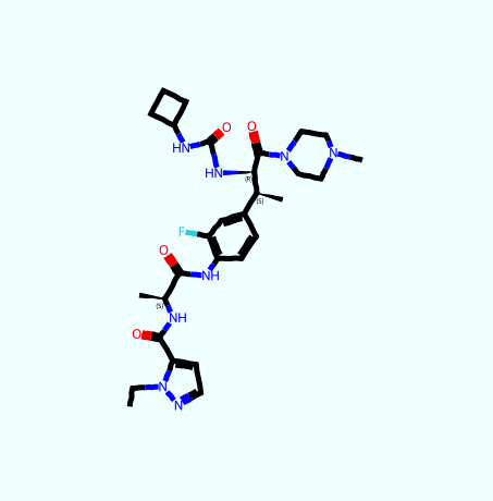 CCn1nccc1C(=O)N[C@@H](C)C(=O)Nc1ccc([C@H](C)[C@@H](NC(=O)NC2CCC2)C(=O)N2CCN(C)CC2)cc1F